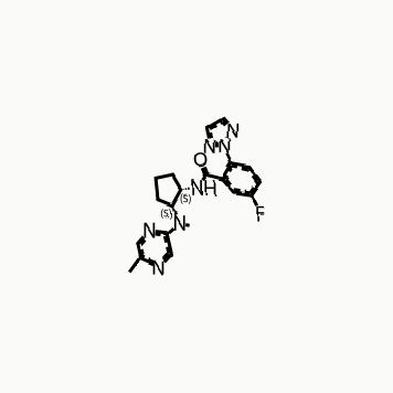 Cc1cnc(N(C)[C@H]2CCC[C@@H]2NC(=O)c2cc(F)ccc2-n2nccn2)cn1